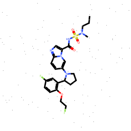 CCCN(C)S(=O)(=O)NC(=O)c1cnc2ccc(N3CCCC3c3cc(F)ccc3OCCF)cn12